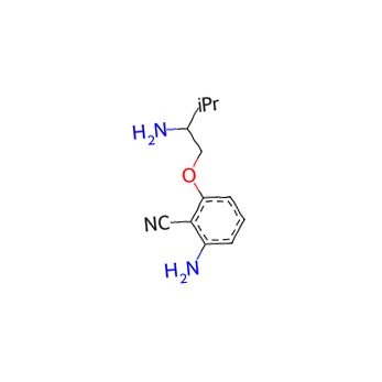 CC(C)C(N)COc1cccc(N)c1C#N